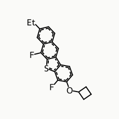 CCc1ccc2cc3c(sc4c(F)c(OC5CCC5)ccc43)c(F)c2c1